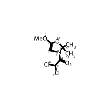 COC1=CN(C(=O)C(Cl)Cl)C(C)(C)O1